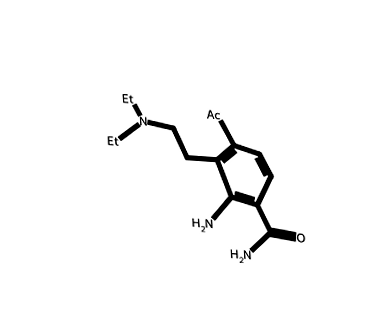 CCN(CC)CCc1c(C(C)=O)ccc(C(N)=O)c1N